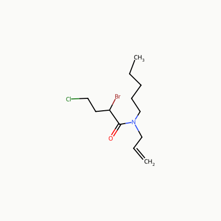 C=CCN(CCCCC)C(=O)C(Br)CCCl